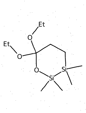 CCOC1(OCC)CC[Si](C)(C)[Si](C)(C)O1